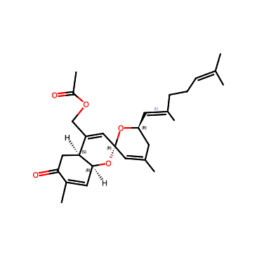 CC(=O)OCC1=C[C@@]2(C=C(C)C[C@H](/C=C(\C)CCC=C(C)C)O2)O[C@H]2C=C(C)C(=O)C[C@@H]12